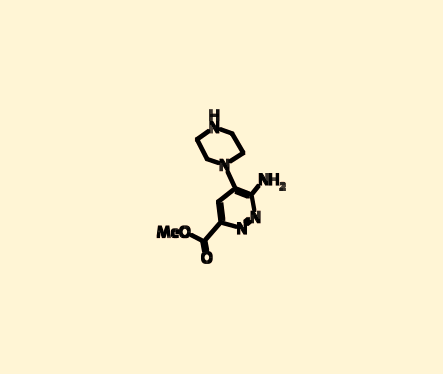 COC(=O)c1cc(N2CCNCC2)c(N)nn1